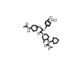 CC(=O)NC1CCC(N[C@H](Cc2ccc(Cl)cc2)C(=O)N2CCC(N(C(=O)N(C)C)C3CCCCC3)C(C)C2)CC1.Cl